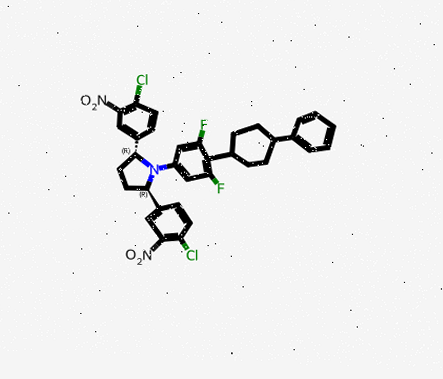 O=[N+]([O-])c1cc([C@H]2CC[C@H](c3ccc(Cl)c([N+](=O)[O-])c3)N2c2cc(F)c(C3CCC(c4ccccc4)CC3)c(F)c2)ccc1Cl